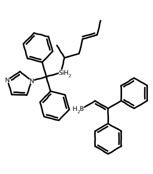 BC=C(c1ccccc1)c1ccccc1.CC=CCC(C)[SiH2]C(c1ccccc1)(c1ccccc1)n1ccnc1